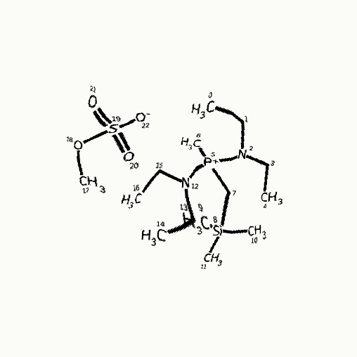 CCN(CC)[P+](C)(C[Si](C)(C)C)N(CC)CC.COS(=O)(=O)[O-]